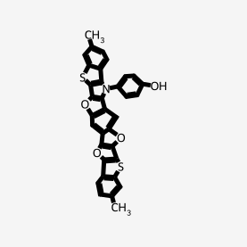 Cc1ccc2c(c1)sc1c2oc2c3cc4oc5c6sc7cc(C)ccc7c6n(-c6ccc(O)cc6)c5c4cc3oc21